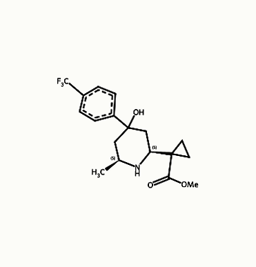 COC(=O)C1([C@@H]2CC(O)(c3ccc(C(F)(F)F)cc3)C[C@H](C)N2)CC1